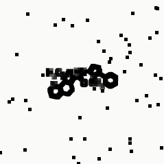 Cn1nc(C(=O)Nc2ccc(-c3ccccc3)n2C)c2c1-c1ncccc1CC2